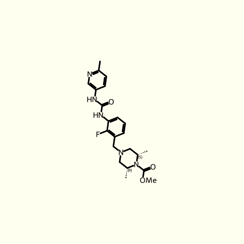 COC(=O)N1[C@H](C)CN(Cc2cccc(NC(=O)Nc3ccc(C)nc3)c2F)C[C@@H]1C